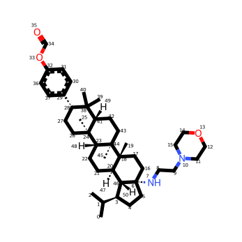 CC(C)[C@@H]1CC[C@]2(NCCN3CCOCC3)CC[C@]3(C)[C@H](CC[C@@H]4[C@@]5(C)CC[C@H](c6ccc(OC=O)cc6)C(C)(C)[C@@H]5CC[C@]43C)[C@@H]12